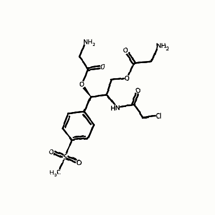 CS(=O)(=O)c1ccc([C@@H](OC(=O)CN)C(COC(=O)CN)NC(=O)CCl)cc1